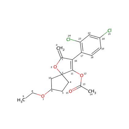 C=C1OC2(CCC(OCC)C2)C(OC(C)=O)=C1c1ccc(Cl)cc1Cl